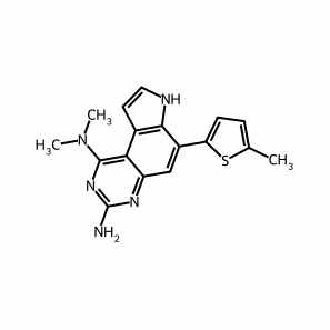 Cc1ccc(-c2cc3nc(N)nc(N(C)C)c3c3cc[nH]c23)s1